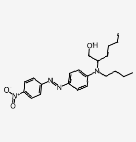 CCCCC(CO)N(CCCC)c1ccc(N=Nc2ccc([N+](=O)[O-])cc2)cc1